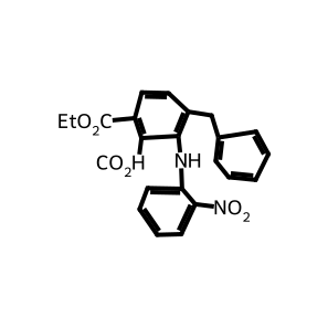 CCOC(=O)c1ccc(Cc2ccccc2)c(Nc2ccccc2[N+](=O)[O-])c1C(=O)O